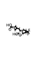 O=C(O)N1CC(CCN2CC3C(C2)C3(F)F)C1.O=CO